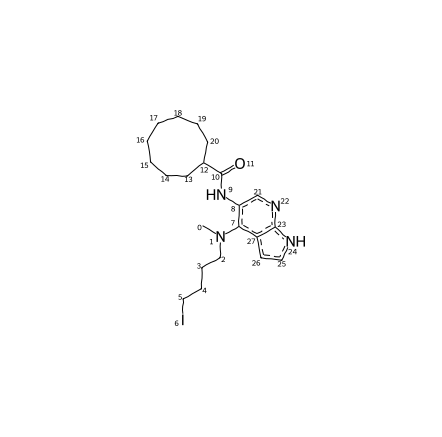 CN(CCCCI)c1c(NC(=O)C2CCCCCCCC2)cnc2[nH]ccc12